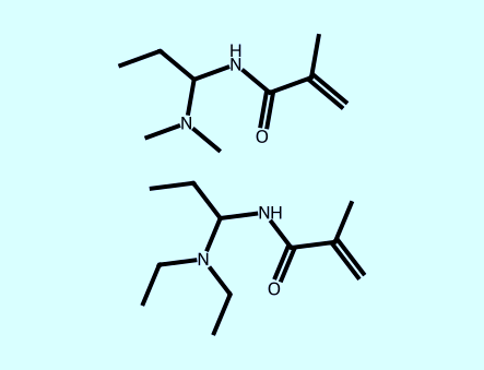 C=C(C)C(=O)NC(CC)N(C)C.C=C(C)C(=O)NC(CC)N(CC)CC